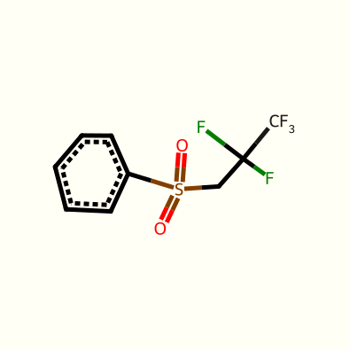 O=S(=O)(CC(F)(F)C(F)(F)F)c1ccccc1